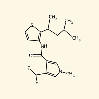 CC(C)CC(C)c1sccc1NC(=O)c1cn(C)cc1C(F)F